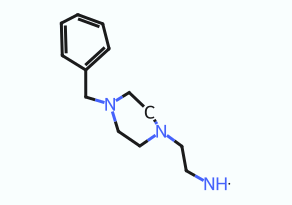 [NH]CCN1CCN(Cc2ccccc2)CC1